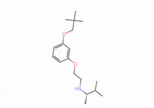 CC(C)[C@@H](C)NCCOc1cccc(OCC(C)(C)C)c1